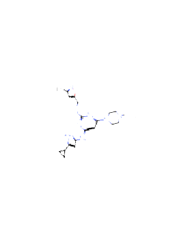 CC(C)c1cc(CNc2nc(Nc3cc(C4CC4)n(C)n3)cc(N3CCN(C)CC3)n2)on1